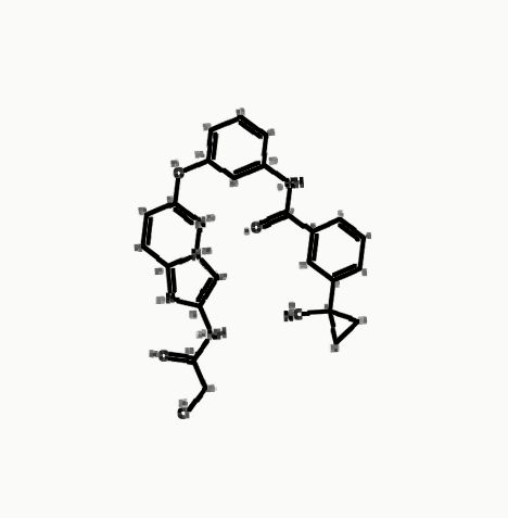 N#CC1(c2cccc(C(=O)Nc3cccc(Oc4ccc5nc(NC(=O)CCl)cn5n4)c3)c2)CC1